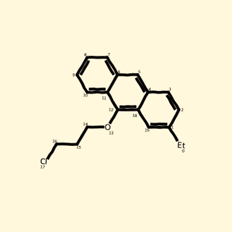 CCc1ccc2cc3ccccc3c(OCCCCl)c2c1